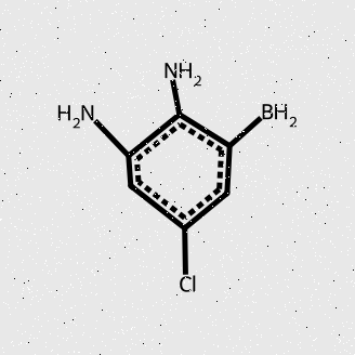 Bc1cc(Cl)cc(N)c1N